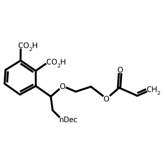 C=CC(=O)OCCOC(CCCCCCCCCCC)c1cccc(C(=O)O)c1C(=O)O